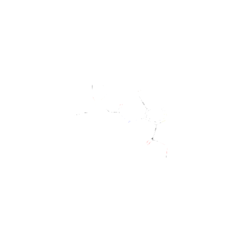 CC[P+](CC)(CC)CC(=O)Nc1c(C)csc1C(=O)OC.[Br-]